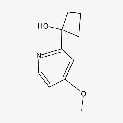 COc1ccnc(C2(O)CCC2)c1